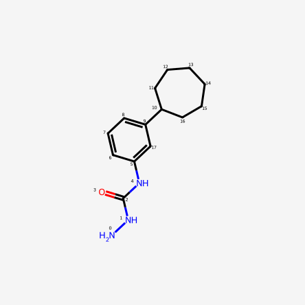 NNC(=O)Nc1cccc(C2CCCCCC2)c1